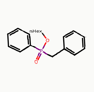 CCCCCCOP(=O)(Cc1cc[c]cc1)c1ccccc1